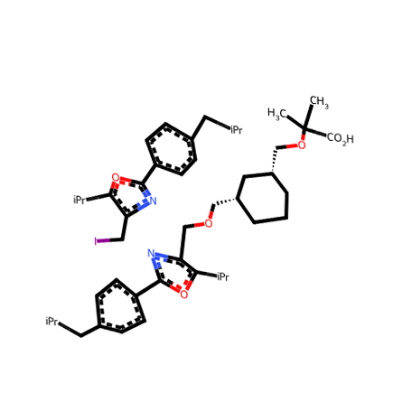 CC(C)Cc1ccc(-c2nc(CI)c(C(C)C)o2)cc1.CC(C)Cc1ccc(-c2nc(COC[C@H]3CCC[C@@H](COC(C)(C)C(=O)O)C3)c(C(C)C)o2)cc1